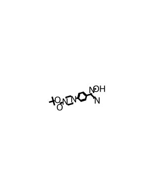 CC(C)(C)OC(=O)N1CCN(c2ccc(/C(C#N)=N/O)cc2)CC1